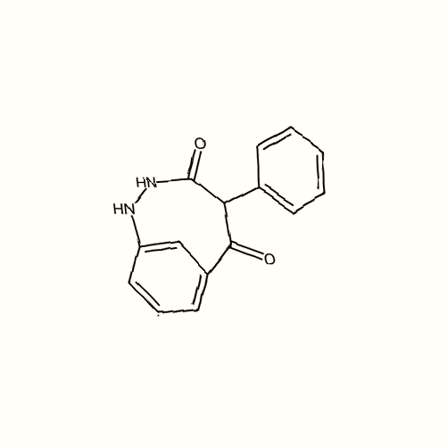 O=C1NNc2c[c]cc(c2)C(=O)C1c1ccccc1